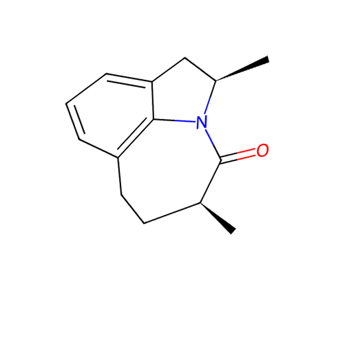 C[C@@H]1Cc2cccc3c2N1C(=O)[C@@H](C)CC3